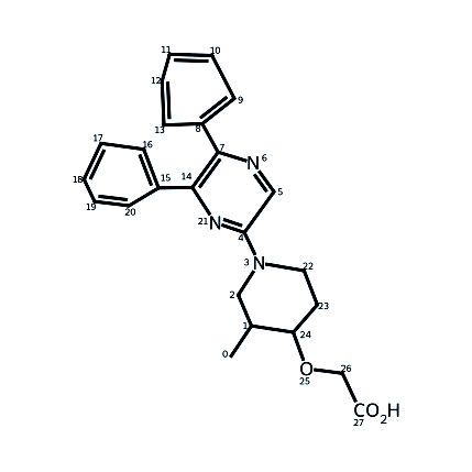 CC1CN(c2cnc(-c3ccccc3)c(-c3ccccc3)n2)CCC1OCC(=O)O